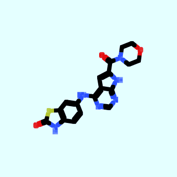 O=C(c1cc2c(Nc3ccc4[nH]c(=O)sc4c3)ncnc2[nH]1)N1CCOCC1